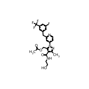 CC(=O)OCc1c(C(=O)NCCO)c(C)nn1-c1ccnc(Cc2cc(F)cc(C(F)(F)F)c2)c1